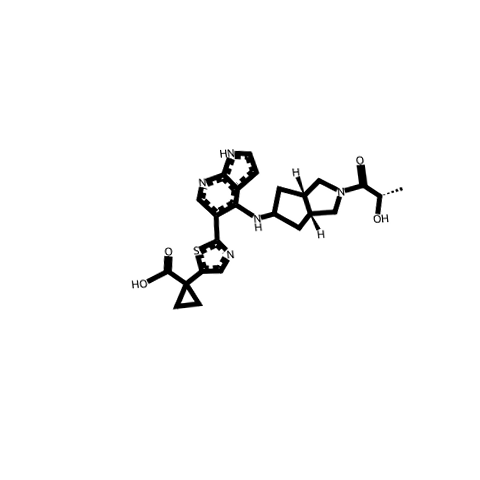 C[C@H](O)C(=O)N1C[C@H]2CC(Nc3c(-c4ncc(C5(C(=O)O)CC5)s4)cnc4[nH]ccc34)C[C@H]2C1